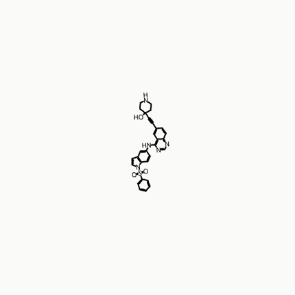 O=S(=O)(c1ccccc1)n1ccc2cc(Nc3ncnc4ccc(C#CC5(O)CCNCC5)cc34)ccc21